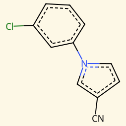 N#Cc1ccn(-c2cccc(Cl)c2)c1